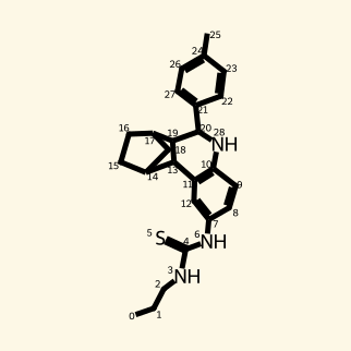 CCCNC(=S)Nc1ccc2c(c1)C1C3CCC(C3)C1C(c1ccc(C)cc1)N2